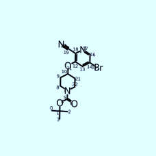 CC(C)(C)OC(=O)N1CCC(Oc2cc(Br)cnc2C#N)CC1